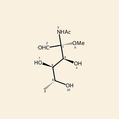 CO[C@]([C]=O)(NC(C)=O)[C@@H](O)[C@H](O)[C@@H](C)O